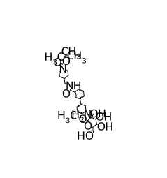 Cc1cc(-c2cccc(C(=O)NCC3CCN(C(=O)OC(C)(C)C)CC3)c2)ccc1O[C@H]1O[C@H](CO)[C@@H](O)[C@H](O)[C@]1(N)O